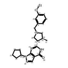 CCOc1cccc(CN2C[C@@H](C)[C@H](c3nc4c(cnn4C4CCCC4)c(=O)[nH]3)C2)c1